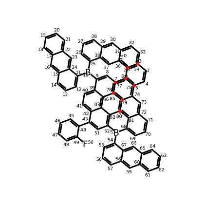 Fc1ccccc1-c1cc(B(c2cccc3cc4ccccc4cc23)c2cccc3cc4ccccc4cc23)c2ccc3c(-c4ccccc4F)cc(B(c4cccc5cc6ccccc6cc45)c4cccc5cc6ccccc6cc45)c4ccc1c2c43